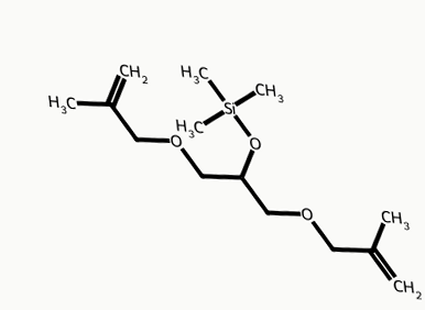 C=C(C)COCC(COCC(=C)C)O[Si](C)(C)C